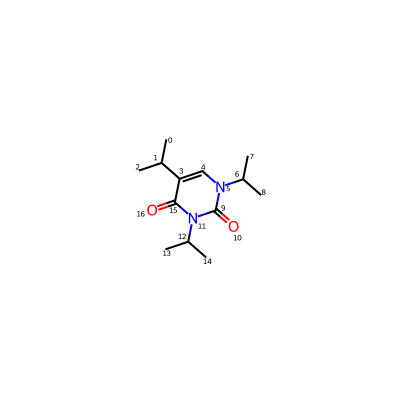 CC(C)c1cn(C(C)C)c(=O)n(C(C)C)c1=O